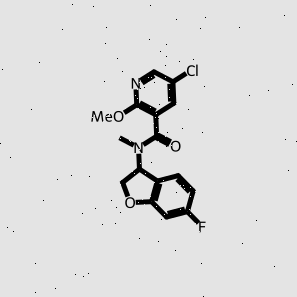 COc1ncc(Cl)cc1C(=O)N(C)C1COc2cc(F)ccc21